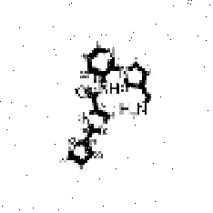 NCC1CCN(c2ncccc2NC(=O)c2csc(-c3cccs3)n2)C1